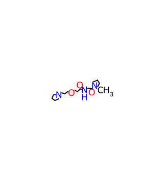 CC1CCCN1C(=O)CNC(=O)CCOCCCN1CCCC1